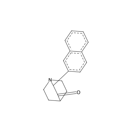 O=C1C2CCN(CC2)C1c1ccc2ccccc2c1